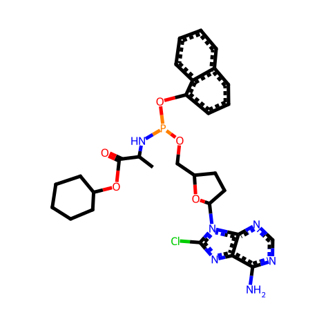 CC(NP(OCC1CCC(n2c(Cl)nc3c(N)ncnc32)O1)Oc1cccc2ccccc12)C(=O)OC1CCCCC1